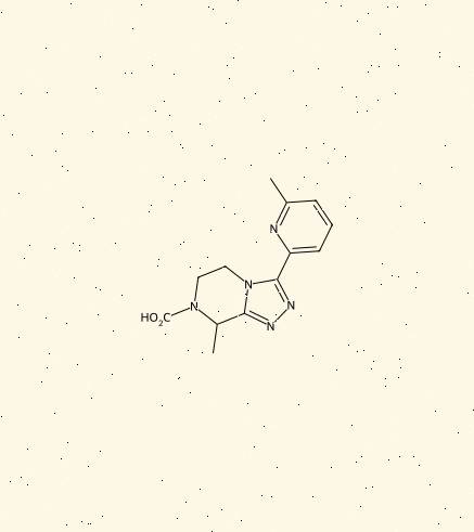 Cc1cccc(-c2nnc3n2CCN(C(=O)O)C3C)n1